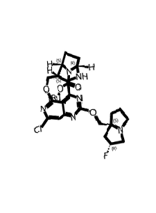 CC(C)(C)OC(=O)N1[C@@H]2CC[C@H]1[C@H]1COc3nc(Cl)cc4nc(OC[C@@]56CCCN5C[C@H](F)C6)nc(c34)C1N2